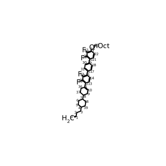 C=CCCC1CCC(C2CC=C(c3ccc(-c4ccc(-c5ccc(OCCCCCCCC)c(F)c5F)cc4)c(F)c3F)CC2)CC1